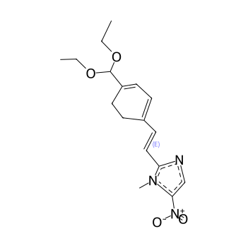 CCOC(OCC)C1=CC=C(/C=C/c2ncc([N+](=O)[O-])n2C)CC1